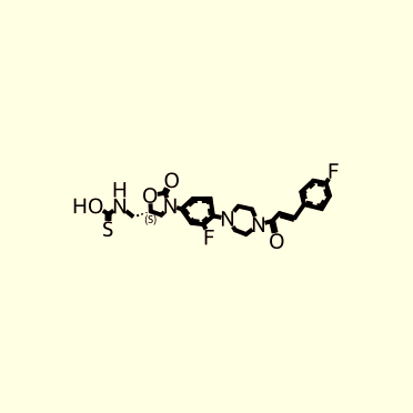 O=C(C=Cc1ccc(F)cc1)N1CCN(c2ccc(N3C[C@H](CNC(O)=S)OC3=O)cc2F)CC1